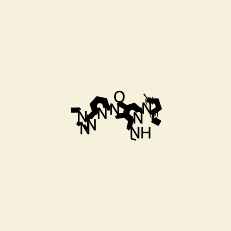 C=C[C@@H]1CC[C@@H](C)N1c1cc2c(c(CNC)n1)CN(c1cccc(-c3nncn3CC)n1)C2=O